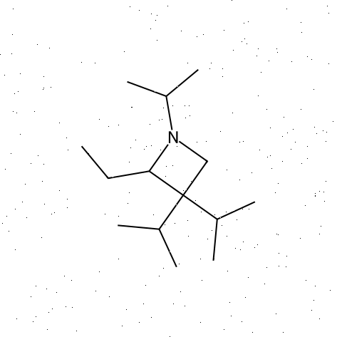 CCC1N(C(C)C)CC1(C(C)C)C(C)C